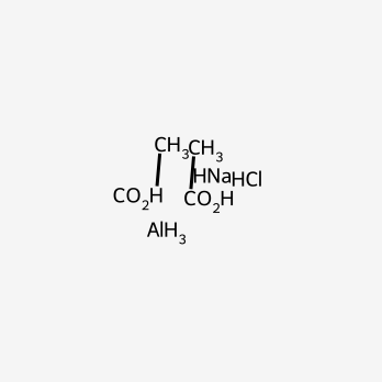 CC(=O)O.CC(=O)O.Cl.[AlH3].[NaH]